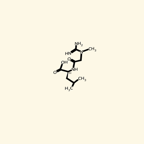 CC(C)C[C@H](NC(=O)CN(C)C(=N)N)C(=O)O